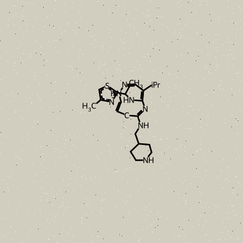 Cc1csc(C(C)NC2=C(C(C)C)\C=N/N/C=C/C/C(NCC3CCNCC3)=N\2)n1